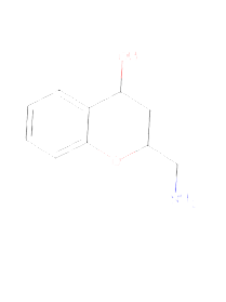 NCC1CC(O)c2ccccc2O1